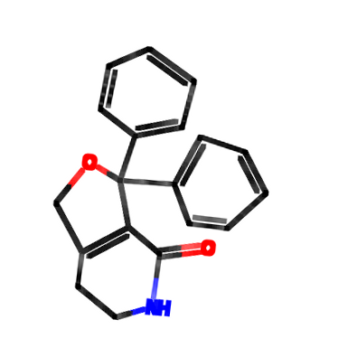 O=C1NCCC2=C1C(c1ccccc1)(c1ccccc1)OC2